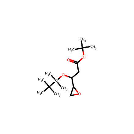 CC(C)(C)OC(=O)CC(O[Si](C)(C)C(C)(C)C)C1CO1